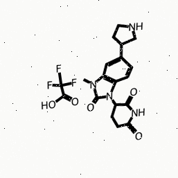 Cn1c(=O)n(C2CCC(=O)NC2=O)c2ccc(C3CCNC3)cc21.O=C(O)C(F)(F)F